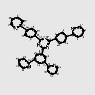 c1ccc(-c2ccc(-c3nc(-c4ccc(-c5ccccn5)cc4)nc(-c4cc(-c5ccccn5)cc(-c5ccccn5)c4)n3)cc2)nc1